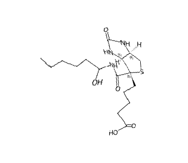 CCCCCC(O)NC(=O)[C@@]1(CCCCC(=O)O)SC[C@@H]2NC(=O)N[C@@H]21